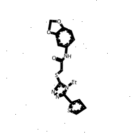 CCn1c(SCC(=O)Nc2ccc3c(c2)OCO3)nnc1-c1cccs1